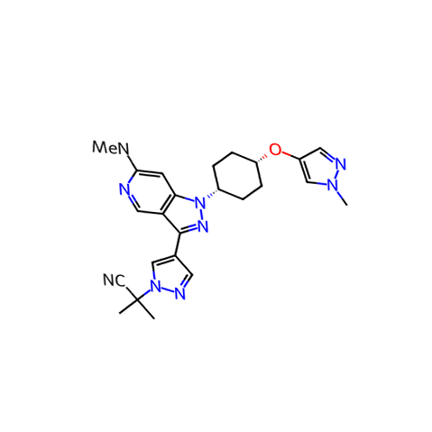 CNc1cc2c(cn1)c(-c1cnn(C(C)(C)C#N)c1)nn2[C@H]1CC[C@@H](Oc2cnn(C)c2)CC1